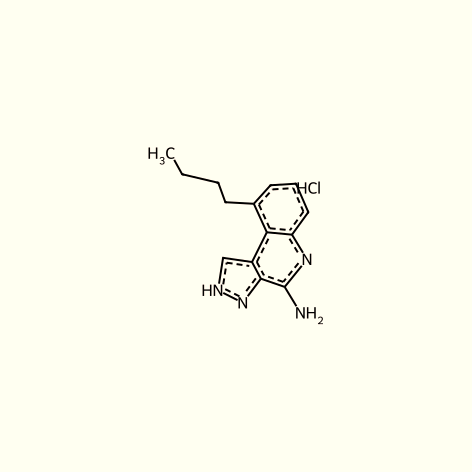 CCCCc1cccc2nc(N)c3n[nH]cc3c12.Cl